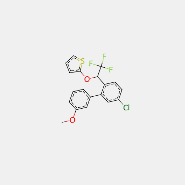 COc1cccc(-c2cc(Cl)ccc2C(Oc2cccs2)C(F)(F)F)c1